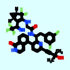 CC(C)(O)C#Cc1ccc(-c2cccc3c(=O)[nH]ccc23)c(C(Cc2cc(F)cc(F)c2)NC(=O)CNC2=C(C(=N)C(F)(F)F)[C@H]3C[C@H]3C2(F)F)n1